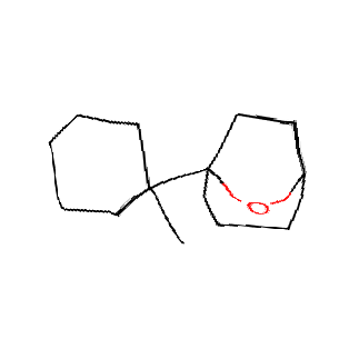 CC1(C23CCC(CC2)O3)CCCCC1